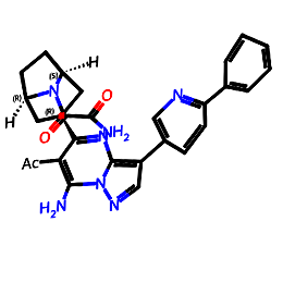 CC(=O)c1c([C@H]2C[C@H]3CC[C@@H](C2)N3C(=O)C(N)=O)nc2c(-c3ccc(-c4ccccc4)nc3)cnn2c1N